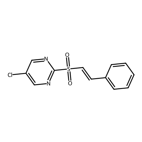 O=S(=O)(C=Cc1ccccc1)c1ncc(Cl)cn1